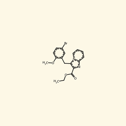 CCOC(=O)c1nc2ccccn2c1Cc1cc(Br)ccc1OC